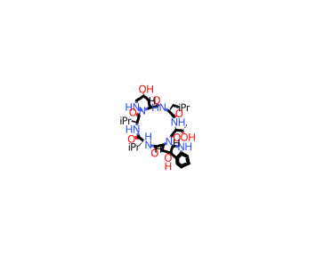 CC(C)C[C@@H]1NC(=O)[C@H]2C[C@@H](O)CNN2C(=O)[C@H](C(C)C)NC(=O)[C@@H](C(C)C)NC(=O)[C@@H]2C[C@@]3(O)c4ccccc4N[C@H]3N2C(=O)[C@@H]([C@H](C)O)NC1=O